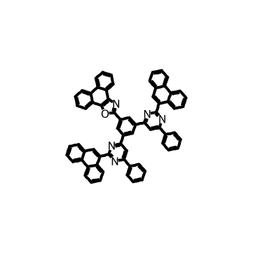 c1ccc(-c2cc(-c3cc(-c4cc(-c5ccccc5)nc(-c5cc6ccccc6c6ccccc56)n4)cc(-c4nc5c6ccccc6c6ccccc6c5o4)c3)nc(-c3cc4ccccc4c4ccccc34)n2)cc1